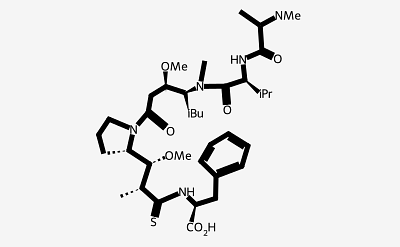 CC[C@H](C)[C@@H]([C@@H](CC(=O)N1CCC[C@H]1[C@H](OC)[C@@H](C)C(=S)N[C@@H](Cc1ccccc1)C(=O)O)OC)N(C)C(=O)[C@@H](NC(=O)C(C)NC)C(C)C